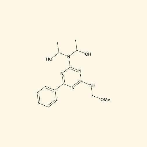 COCNc1nc(-c2ccccc2)nc(N(C(C)O)C(C)O)n1